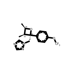 C[C@H]1O[C@@](Cn2cncn2)(c2ccc(OC(F)(F)F)cc2)[C@H]1C